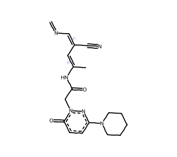 C=N/C=C(C#N)\C=C(/C)NC(=O)Cn1nc(N2CCCCC2)ccc1=O